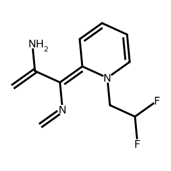 C=N/C(C(=C)N)=C1/C=CC=CN1CC(F)F